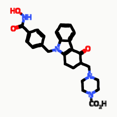 O=C(NO)c1ccc(Cn2c3c(c4ccccc42)C(=O)C(CN2CCN(C(=O)O)CC2)CC3)cc1